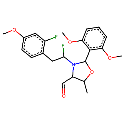 COc1ccc(CC(F)N2C(c3c(OC)cccc3OC)OC(C)C2C=O)c(F)c1